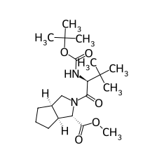 COC(=O)[C@@H]1[C@H]2CCC[C@H]2CN1C(=O)[C@@H](NC(=O)OC(C)(C)C)C(C)(C)C